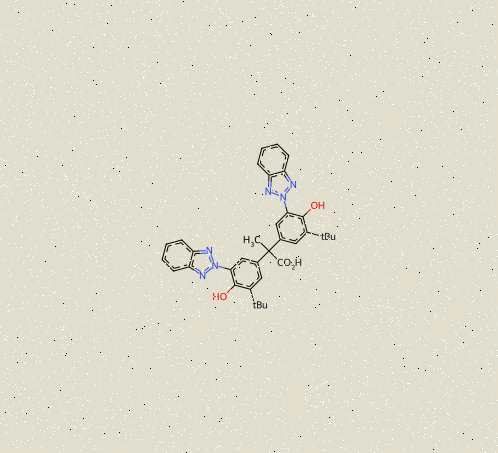 CC(C)(C)c1cc(C(C)(C(=O)O)c2cc(-n3nc4ccccc4n3)c(O)c(C(C)(C)C)c2)cc(-n2nc3ccccc3n2)c1O